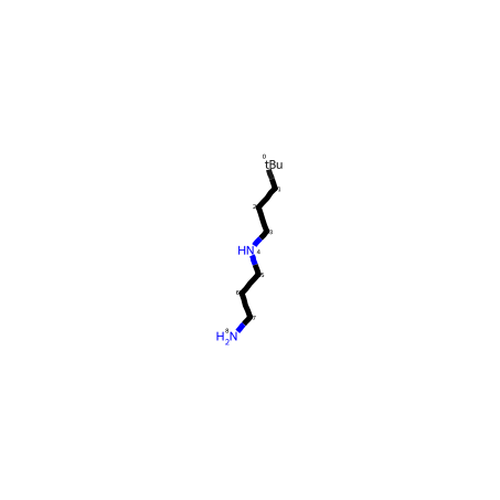 CC(C)(C)CCCNCCCN